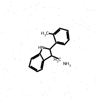 Cc1ccccc1C1Nc2ccccc2C1C.N